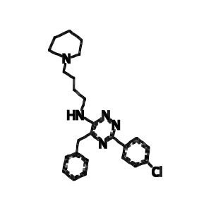 Clc1ccc(-c2nnc(NCCCCN3CCCCC3)c(Cc3ccccc3)n2)cc1